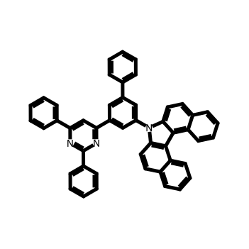 c1ccc(-c2cc(-c3cc(-c4ccccc4)nc(-c4ccccc4)n3)cc(-n3c4ccc5ccccc5c4c4c5ccccc5ccc43)c2)cc1